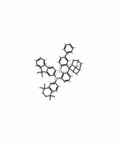 CC1(C)CCC(C)(C)c2cc(N(c3ccc4c(c3)C(C)(C)c3ccccc3-4)c3cccc4c3Oc3ccc(-c5ccccc5)cc3C43C4CC5CC6CC3C64C5)ccc21